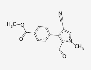 COC(=O)c1ccc(-c2c(C#N)cn(C)c2C=O)cc1